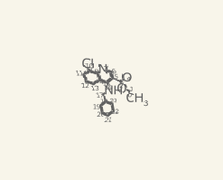 CCOC(=O)c1cnc2c(Cl)cccc2c1NCc1ccccc1